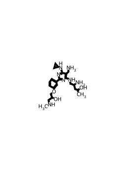 CNCC(O)COc1cccc(-c2nc(NCC(N)CC(C)O)c(CN)c(NC3CC3)n2)c1